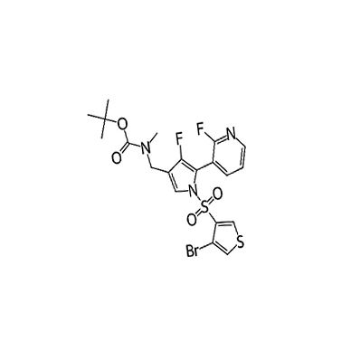 CN(Cc1cn(S(=O)(=O)c2cscc2Br)c(-c2cccnc2F)c1F)C(=O)OC(C)(C)C